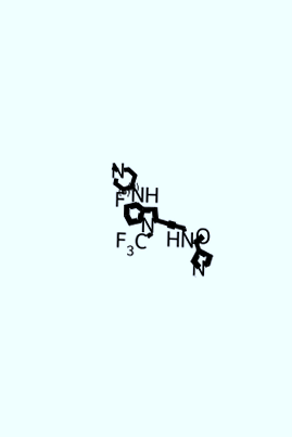 CN1CC[C@@H](Nc2cccc3c2cc(C#CCNC(=O)c2ccn(C)c2)n3CC(F)(F)F)[C@@H](F)C1